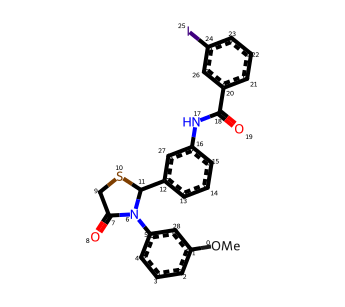 COc1cccc(N2C(=O)CSC2c2cccc(NC(=O)c3cccc(I)c3)c2)c1